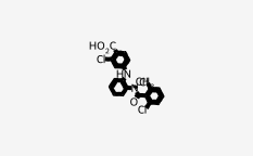 CN(C(=O)c1c(Cl)cccc1Cl)C1=C(Nc2ccc(C(=O)O)c(Cl)c2)C=CCC1